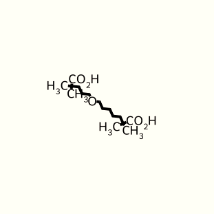 CC(C)(CCCCCOCCCC(C)(C)C(=O)O)C(=O)O